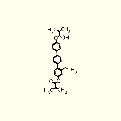 C=C(C)C(=O)Oc1ccc(-c2ccc(-c3ccc(O[C@H](O)C(=C)C)cc3)cc2)c(CC)c1